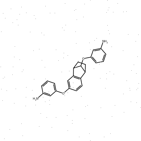 Nc1cccc(Oc2ccc3c(c2)C2CCC3C2Oc2cccc(N)c2)c1